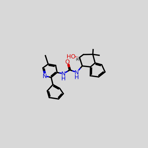 Cc1cnc(-c2ccccc2)c(NC(=O)NC2c3ccccc3C(C)(C)C[C@H]2O)c1